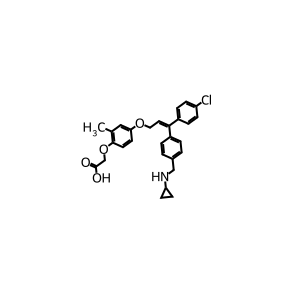 Cc1cc(OC/C=C(/c2ccc(Cl)cc2)c2ccc(CNC3CC3)cc2)ccc1OCC(=O)O